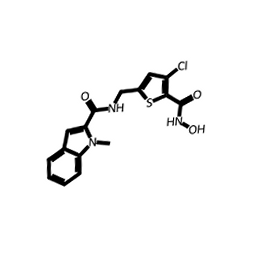 Cn1c(C(=O)NCc2cc(Cl)c(C(=O)NO)s2)cc2ccccc21